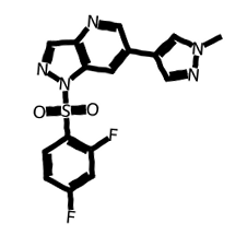 Cn1cc(-c2cnc3cnn(S(=O)(=O)c4ccc(F)cc4F)c3c2)cn1